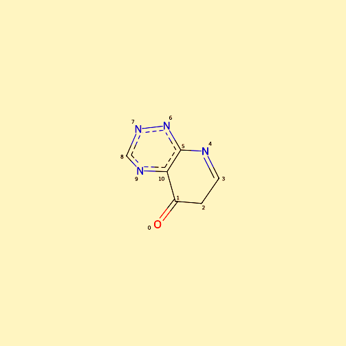 O=C1CC=Nc2nncnc21